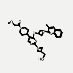 COCC(=O)N1CCC(c2cnc(N3CC(CO)C3)nc2OC2CN(c3nc4ccccc4cc3C)C2)CC1